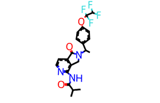 CC(C)C(=O)Nc1nccc2c1CN(C(C)c1ccc(OC(F)(F)C(F)F)cc1)C2=O